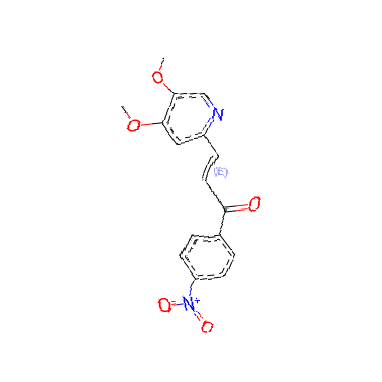 COc1cnc(/C=C/C(=O)c2ccc([N+](=O)[O-])cc2)cc1OC